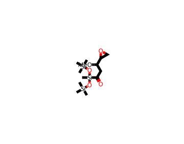 COC(CC(=O)[Si](C)(O[Si](C)(C)C)O[Si](C)(C)C)C1CO1